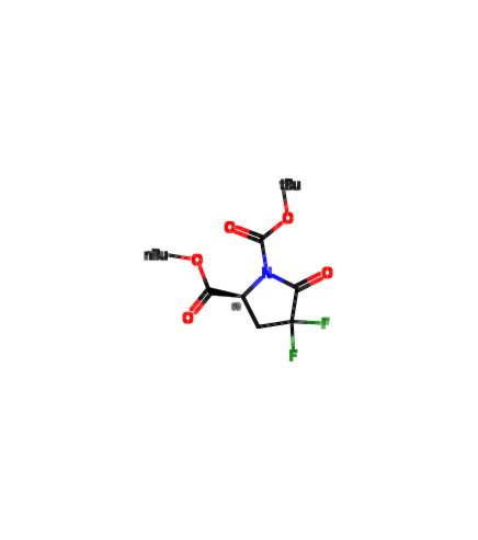 CCCCOC(=O)[C@@H]1CC(F)(F)C(=O)N1C(=O)OC(C)(C)C